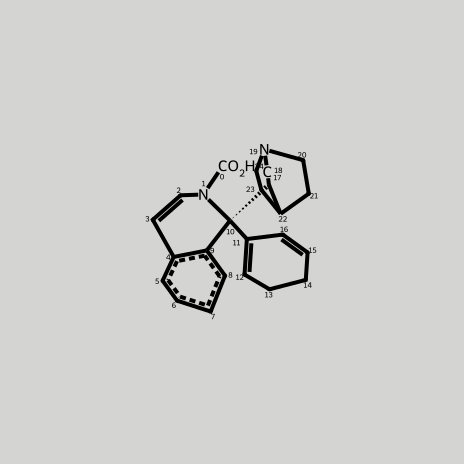 O=C(O)N1C=Cc2ccccc2[C@@]1(C1=CCCC=C1)C1CN2CCC1CC2